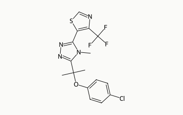 Cn1c(-c2scnc2C(F)(F)F)nnc1C(C)(C)Oc1ccc(Cl)cc1